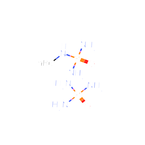 CCCCNP(N)(N)=O.NP(N)(N)=O